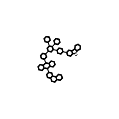 c1ccc(-c2cc(-c3cccc(-c4c5ccccc5c(-c5ccc6ccc7ccccc7c6c5)c5ccccc45)c3)cc(-c3ccc(-c4ccc5sc6ccccc6c5c4)cc3)c2-c2ccccc2)cc1